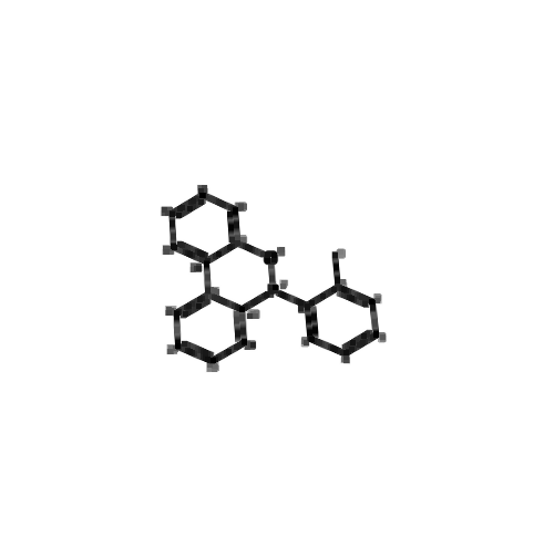 Cc1ccccc1P1Oc2ccccc2-c2ccccc21